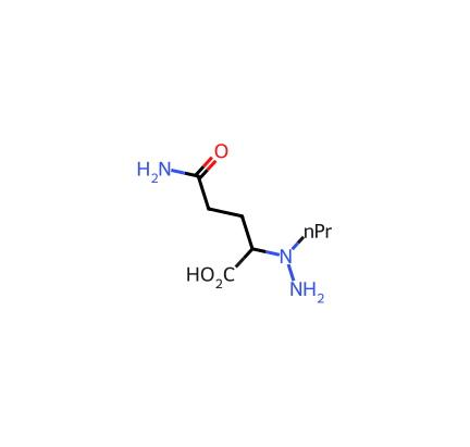 CCCN(N)C(CCC(N)=O)C(=O)O